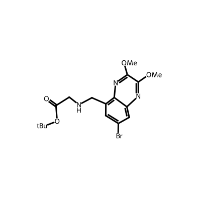 COc1nc2cc(Br)cc(CNCC(=O)OC(C)(C)C)c2nc1OC